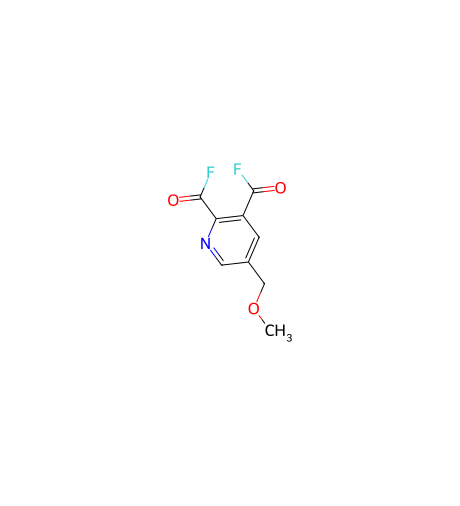 COCc1cnc(C(=O)F)c(C(=O)F)c1